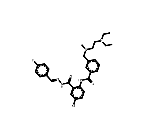 CCN(CC)CCN(C)Cc1cccc(C(=O)Nc2ccc(Cl)cc2C(=O)NN=Cc2ccc(F)cc2)c1